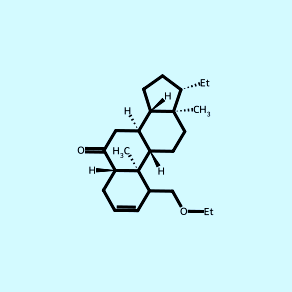 CCOCC1C=CC[C@@H]2C(=O)C[C@H]3[C@@H]4CC[C@H](CC)[C@@]4(C)CC[C@@H]3[C@@]12C